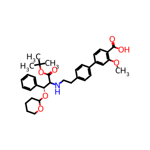 COc1cc(-c2ccc(CCNC(C(=O)OC(C)(C)C)[C@H](OC3CCCCO3)c3ccccc3)cc2)ccc1C(=O)O